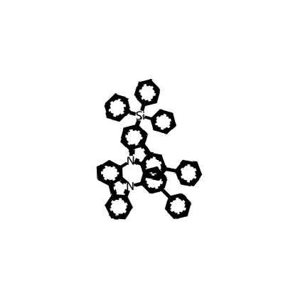 c1ccc(-c2cccc(-n3c4ccccc4c4cccc(-n5c6ccc(-c7ccccc7)cc6c6cc([Si](c7ccccc7)(c7ccccc7)c7ccccc7)ccc65)c43)c2)cc1